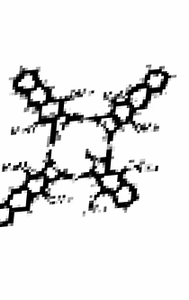 CCCCOc1c2ccccc2c(OCCCC)c2c1c1nc3nc(nc4[nH]c(nc5nc(nc2n1C)-c1c-5c(OC)c2cc5ccccc5cc2c1OC)c1c(OC)c2cc5ccccc5cc2c(OC)c41)-c1c-3c(OC)c2cc3ccccc3cc2c1OC